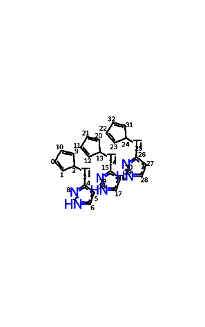 C1=C[CH]([Ti][c]2cc[nH]n2)C=C1.C1=C[CH]([Ti][c]2cc[nH]n2)C=C1.C1=C[CH]([Ti][c]2cc[nH]n2)C=C1